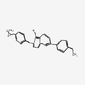 CCc1ccc(-c2ccc3c(F)c(-c4ccc(OC)cc4)ccc3c2)cc1